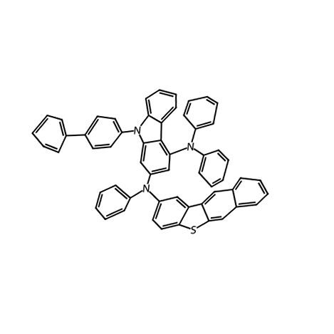 c1ccc(-c2ccc(-n3c4ccccc4c4c(N(c5ccccc5)c5ccccc5)cc(N(c5ccccc5)c5ccc6sc7cc8ccccc8cc7c6c5)cc43)cc2)cc1